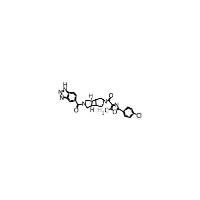 Cc1oc(-c2ccc(Cl)cc2)nc1C(=O)N1CC2C(C1)[C@@H]1CN(C(=O)c3ccc4[nH]nnc4c3)C[C@H]21